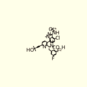 Cn1nc(N[S+](C)[O-])c2c(Cl)ccc(-c3ccc(C#CC(C)(C)O)nc3[C@H](Cc3cc(F)cc(F)c3)NC(=O)O)c21